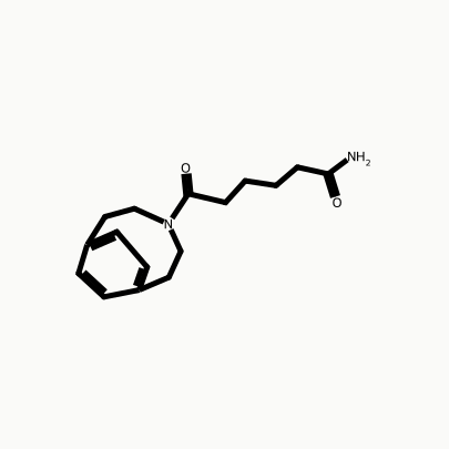 NC(=O)CCCCC(=O)N1CCc2ccc(cc2)CC1